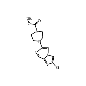 CCc1cn2cc(N3CCN(C(=O)OC(C)(C)C)CC3)ncc2n1